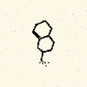 O=C(O)C1CCC2CCCC=C2C1